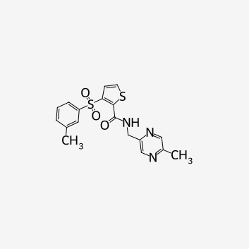 Cc1cccc(S(=O)(=O)c2ccsc2C(=O)NCc2cnc(C)cn2)c1